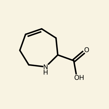 O=C(O)C1CC=CCCN1